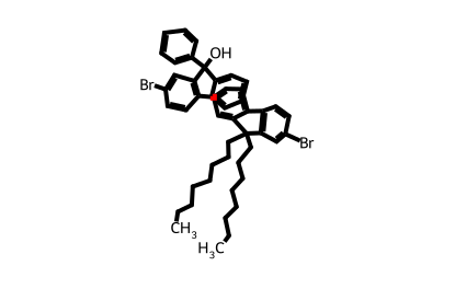 CCCCCCCCC1(CCCCCCCC)c2cc(Br)ccc2-c2ccc(-c3ccc(Br)cc3C(O)(c3ccccc3)c3ccccc3)cc21